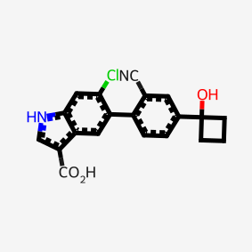 N#Cc1cc(C2(O)CCC2)ccc1-c1cc2c(C(=O)O)c[nH]c2cc1Cl